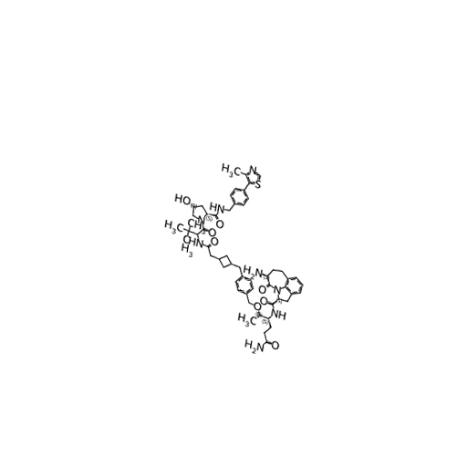 Cc1ncsc1-c1ccc(CNC(=O)[C@@H]2C[C@@H](O)CN2C(=O)C(NC(=O)CC2CC(Cc3ccc(CO[C@H](C)[C@H](CCC(N)=O)NC(=O)[C@@H]4Cc5cccc6c5N4C(=O)[C@@H](N)CC6)cc3)C2)C(C)(C)C)cc1